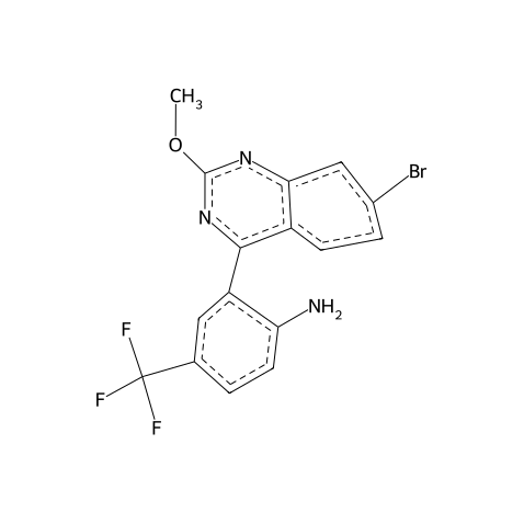 COc1nc(-c2cc(C(F)(F)F)ccc2N)c2ccc(Br)cc2n1